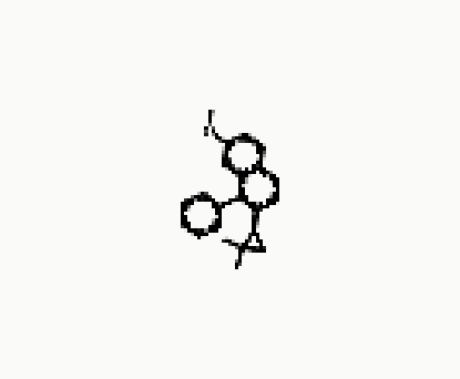 COc1ccc2ccc(C3CC3(C)C)c(-c3ccccc3)c2c1